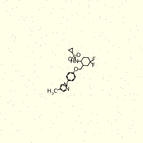 Cc1cnn(-c2ccc(OCC3CC(F)(F)CCC3NS(=O)(=O)C3CC3)cc2)c1